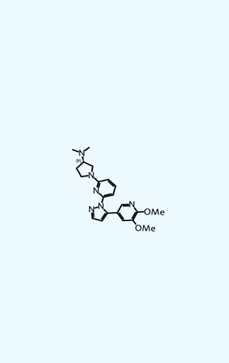 COc1cc(-c2ccnn2-c2cccc(N3CC[C@@H](N(C)C)C3)n2)cnc1OC